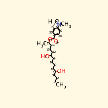 CCCC[C@H](O)CCCCC(O)CCC[C@@H](C)OC(=O)c1ccc(N(C)C)cc1